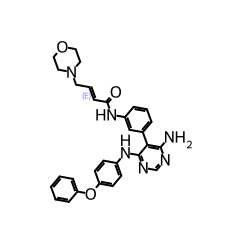 Nc1ncnc(Nc2ccc(Oc3ccccc3)cc2)c1-c1cccc(NC(=O)/C=C/CN2CCOCC2)c1